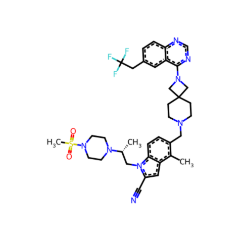 Cc1c(CN2CCC3(CC2)CN(c2ncnc4ccc(CC(F)(F)F)cc24)C3)ccc2c1cc(C#N)n2C[C@@H](C)N1CCN(S(C)(=O)=O)CC1